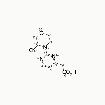 O=C(O)Cc1ccnc(N2CCOCC2Cl)n1